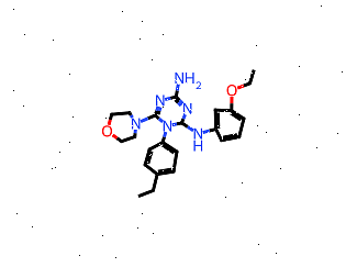 CCOc1cccc(NC2N=C(N)N=C(N3CCOCC3)N2c2ccc(CC)cc2)c1